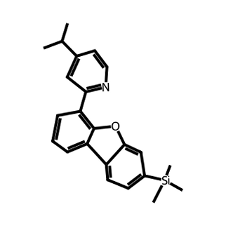 CC(C)c1ccnc(-c2cccc3c2oc2cc([Si](C)(C)C)ccc23)c1